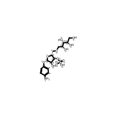 Nc1ccc(O[C@@H]2O[C@H](COC[C@H](O)[C@H](O)[C@H](O)CO)[C@@H](OP(=O)(O)O)[C@H]2O)cc1